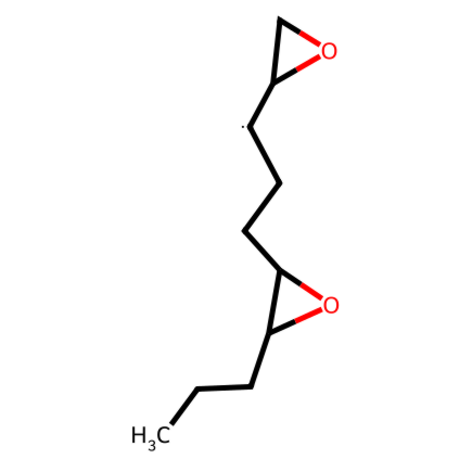 CCCC1OC1CC[CH]C1CO1